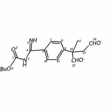 CC(C)COC(=O)NC(=N)c1ccc(C(C)([C]=O)CC=O)cc1